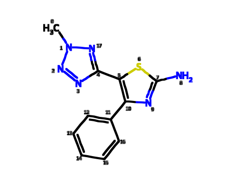 Cn1nnc(-c2sc(N)nc2-c2ccccc2)n1